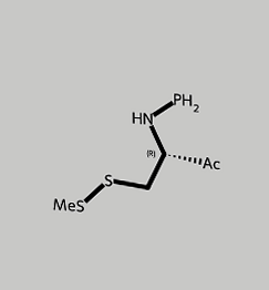 CSSC[C@H](NP)C(C)=O